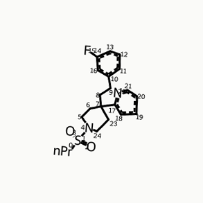 CCCS(=O)(=O)N1CCC(CCc2cccc(F)c2)(c2ccccn2)CC1